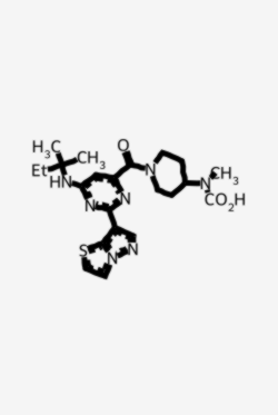 CCC(C)(C)Nc1cc(C(=O)N2CCC(N(C)C(=O)O)CC2)nc(-c2cnn3ccsc23)n1